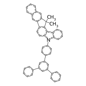 CC1(C)c2cc3ccccc3cc2-c2ccc3c(c21)c1ccccc1n3-c1ccc(-c2cc(-c3ccccc3)cc(-c3ccccc3)c2)cc1